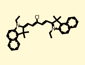 CCN1/C(=C/C=C(Cl)/C=C/C2=[N+](CC)c3ccc4ccccc4c3C2(C)C)C(C)(C)c2c1ccc1ccccc21